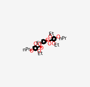 CCCOc1cc(OCC)c(C(=O)Oc2ccc(OC(=O)c3c(OCC)cc(OCCC)cc3OCC)cc2)c(OCC)c1